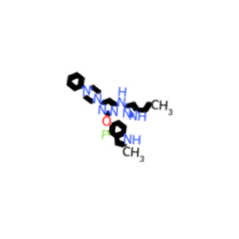 C/C=C/c1cc(Nc2cc(N3CCN(c4ccccc4)CC3)nc(Oc3ccc4[nH]c(C)cc4c3F)n2)n[nH]1